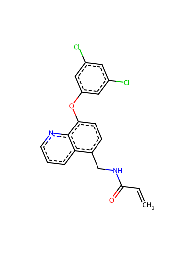 C=CC(=O)NCc1ccc(Oc2cc(Cl)cc(Cl)c2)c2ncccc12